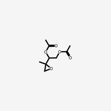 CC(=O)OCC(OC(C)=O)C1(C)CO1